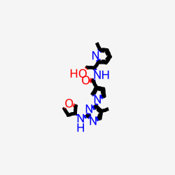 Cc1cccc(C(CO)NC(=O)c2ccn(-c3nc(N[C@H]4CCOC4)ncc3C)c2)n1